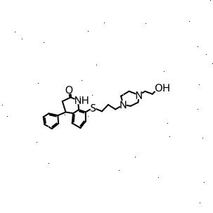 O=C1CC(c2ccccc2)c2cccc(SCCCN3CCN(CCO)CC3)c2N1